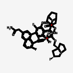 COc1c(F)c(-c2cc(CC(N)=O)cc3ccc(F)c(C#C[Si](C(C)C)(C(C)C)C(C)C)c23)c(F)c2nc(OC[C@@]34CCCN3C[C@H](F)C4)nc(N3CC4CCC(C3)N4C(=O)OC(C)(C)C)c12